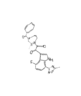 Cc1nc(-c2ccc(F)c3c(C(=O)C(=O)N4CCN(C(=O)c5ccccc5)C[C@H]4C)c[nH]c23)no1